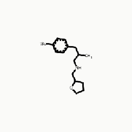 CC(CNCC1CCCO1)Cc1ccc(C(C)(C)C)cc1